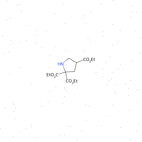 CCOC(=O)C1CNC(C(=O)OCC)(C(=O)OCC)C1